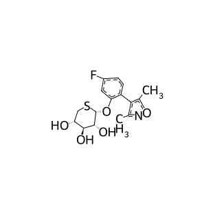 Cc1noc(C)c1-c1ccc(F)cc1O[C@H]1SC[C@@H](O)[C@H](O)[C@H]1O